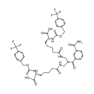 NC(=O)c1cccc(C(=O)N(CNC(=O)CCCC[C@H](NC(=O)OCc2ccc(C(F)(F)F)cc2)C(=O)O)CNC(=O)CCCC[C@H](NC(=O)OCc2ccc(C(F)(F)F)cc2)C(=O)O)c1